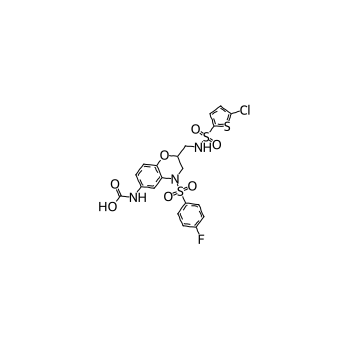 O=C(O)Nc1ccc2c(c1)N(S(=O)(=O)c1ccc(F)cc1)CC(CNS(=O)(=O)c1ccc(Cl)s1)O2